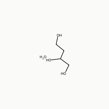 O.OCCC(O)CO